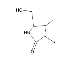 CC1C(CO)NC(=O)C1F